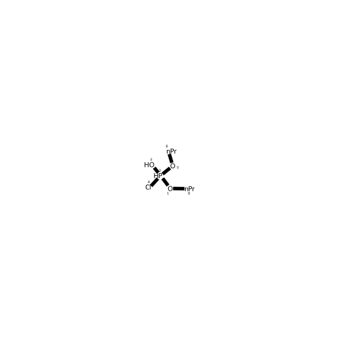 CCCO[PH](O)(Cl)OCCC